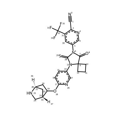 N#Cc1ncc(N2C(=O)C3(CCC3)N(c3ccc(OC4C[C@H]5C[C@H]4CN5)nc3)C2=S)cc1C(F)(F)F